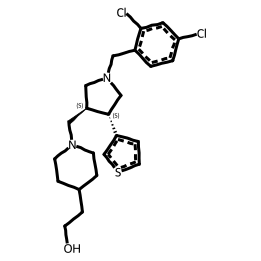 OCCC1CCN(C[C@H]2CN(Cc3ccc(Cl)cc3Cl)C[C@@H]2c2ccsc2)CC1